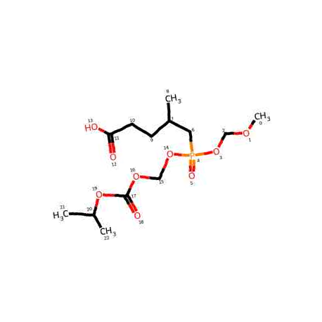 COCOP(=O)(CC(C)CCC(=O)O)OCOC(=O)OC(C)C